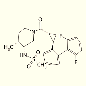 C[C@@H]1CCN(C(=O)[C@@H]2C[C@H]2c2ccccc2-c2c(F)cccc2F)C[C@@H]1NS(C)(=O)=O